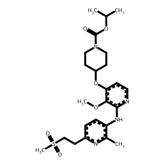 COc1c(OC2CCN(C(=O)OC(C)C)CC2)ccnc1Nc1ccc(CCS(C)(=O)=O)nc1C